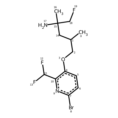 CC(COc1ccc(Br)nc1C(F)F)CC(C)(N)CF